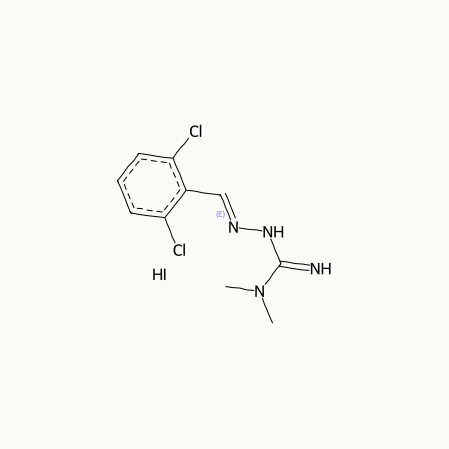 CN(C)C(=N)N/N=C/c1c(Cl)cccc1Cl.I